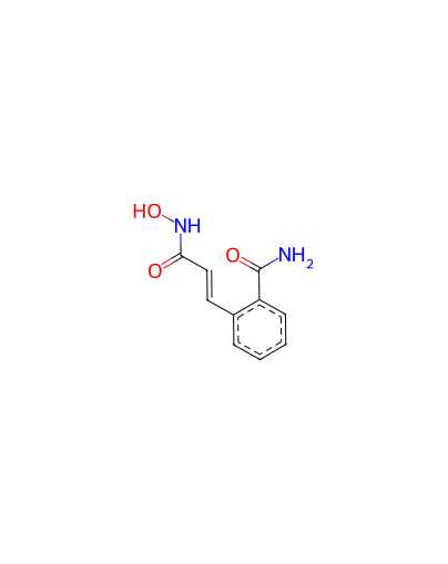 NC(=O)c1ccccc1C=CC(=O)NO